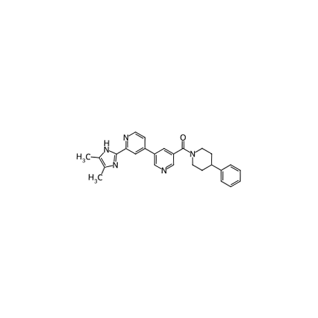 Cc1nc(-c2cc(-c3cncc(C(=O)N4CCC(c5ccccc5)CC4)c3)ccn2)[nH]c1C